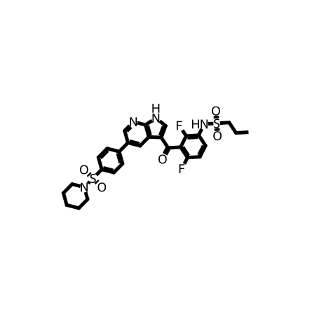 CCCS(=O)(=O)Nc1ccc(F)c(C(=O)c2c[nH]c3ncc(-c4ccc(S(=O)(=O)N5CCCCC5)cc4)cc23)c1F